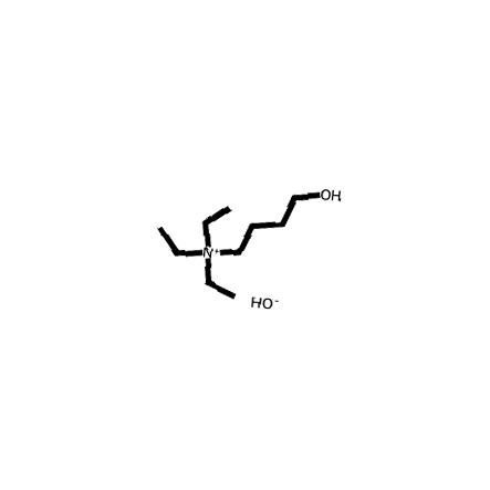 CC[N+](CC)(CC)CCCCO.[OH-]